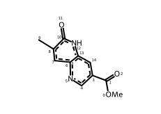 COC(=O)c1cnc2cc(C)c(=O)[nH]c2c1